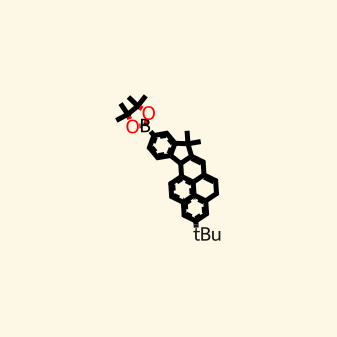 CC(C)(C)c1cc2c3c4c(ccc3c1)C1C(=CC4=CC2)C(C)(C)c2cc(B3OC(C)(C)C(C)(C)O3)ccc21